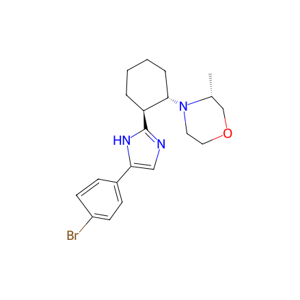 C[C@@H]1COCCN1[C@H]1CCCC[C@@H]1c1ncc(-c2ccc(Br)cc2)[nH]1